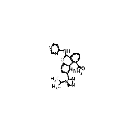 CC(C)n1cnnc1-c1cccc(-c2c(C(N)=O)cccc2C(=O)Nc2ccncn2)n1